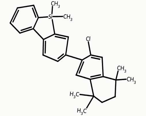 CC1(C)CCC(C)(C)c2cc(-c3ccc4c(c3)[Si](C)(C)c3ccccc3-4)c(Cl)cc21